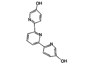 Oc1ccc(-c2cccc(-c3ccc(O)cn3)n2)nc1